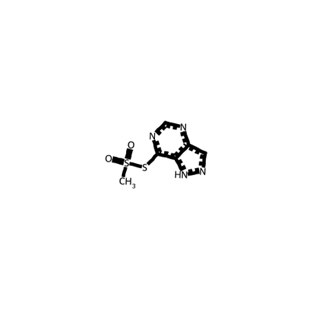 CS(=O)(=O)Sc1ncnc2cn[nH]c12